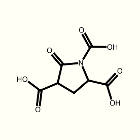 O=C(O)C1CC(C(=O)O)N(C(=O)O)C1=O